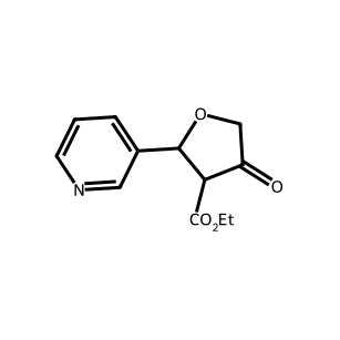 CCOC(=O)C1C(=O)COC1c1cccnc1